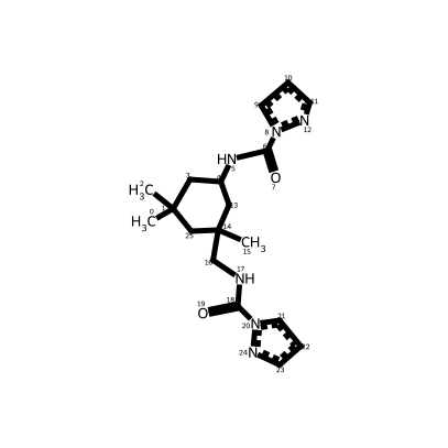 CC1(C)CC(NC(=O)n2cccn2)CC(C)(CNC(=O)n2cccn2)C1